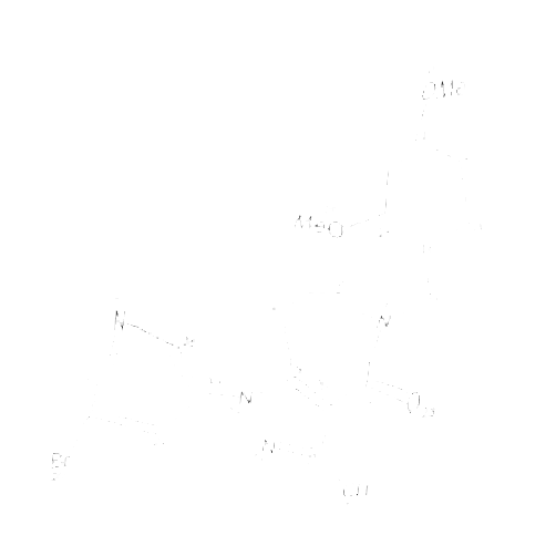 COc1ccc(CN2CCc3c(c(C)nn3-c3cncc(Br)c3)C2=O)c(OC)c1